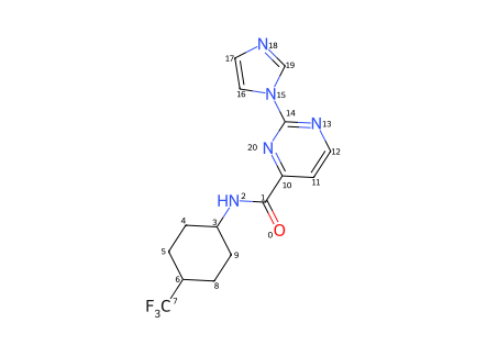 O=C(NC1CCC(C(F)(F)F)CC1)c1ccnc(-n2ccnc2)n1